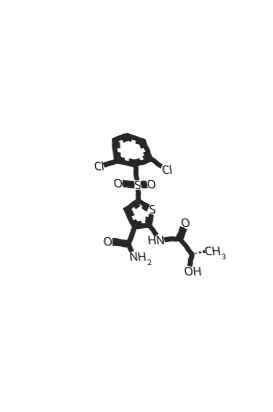 C[C@H](O)C(=O)Nc1sc(S(=O)(=O)c2c(Cl)cccc2Cl)cc1C(N)=O